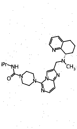 CC(C)NC(=O)N1CCN(c2nccc3nc(CN(C)[C@H]4CCCc5cccnc54)cn23)CC1